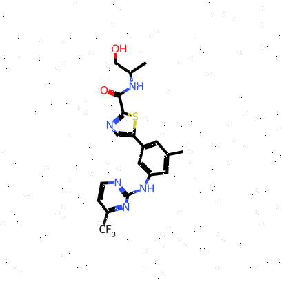 Cc1cc(Nc2nccc(C(F)(F)F)n2)cc(-c2cnc(C(=O)NC(C)CO)s2)c1